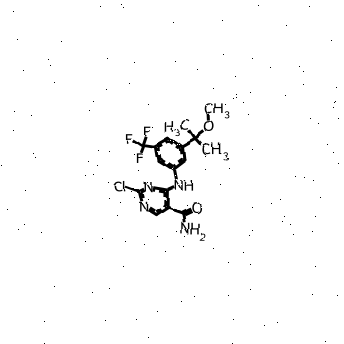 COC(C)(C)c1cc(Nc2nc(Cl)ncc2C(N)=O)cc(C(F)(F)F)c1